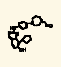 O=CCN1CCCN(c2ccc(Nc3ncc4ccc(O)c(C5CCCC5)c4n3)cc2)CC1